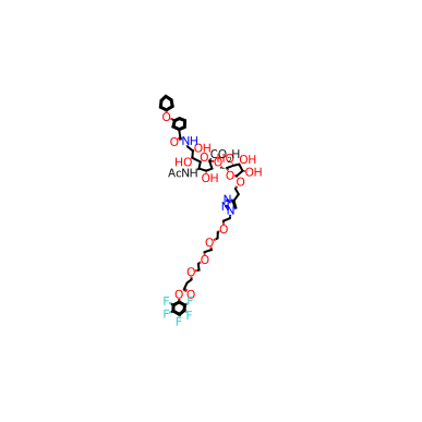 CC(=O)N[C@H]1[C@@H]([C@@H](O)[C@H](O)CNC(=O)c2cccc(Oc3ccccc3)c2)O[C@@](OC[C@H]2O[C@@H](OCCc3cn(CCOCCOCCOCCOCCC(=O)Oc4c(F)c(F)c(F)c(F)c4F)nn3)[C@H](O)[C@@H](O)[C@H]2O)(C(=O)O)C[C@@H]1O